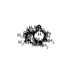 CC[C@@H](C)CCCCC(=O)N[C@@H](CCN)C(=O)N[C@H](C(=O)N[C@@H](CCN)C(=O)N[C@H]1CCNC(=O)[C@H]([C@H](C)O)NC(=O)[C@H](CCN)NC(=O)[C@H](CCN)NC(=O)[C@H](CC(C)C)NC(=O)[C@@H](Cc2ccccc2)NC(=O)[C@H](CCN)NC1=O)[C@H](C)O